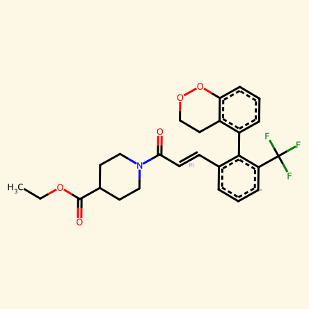 CCOC(=O)C1CCN(C(=O)/C=C/c2cc[c]c(C(F)(F)F)c2-c2cccc3c2CCOO3)CC1